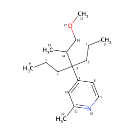 CCCC(CCC)(c1ccnc(C)c1)C(C)COC